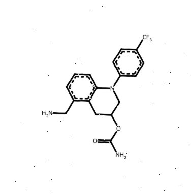 NCc1cccc2c1CC(OC(N)=O)CN2c1ccc(C(F)(F)F)cc1